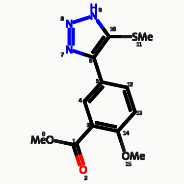 COC(=O)c1cc(-c2nn[nH]c2SC)ccc1OC